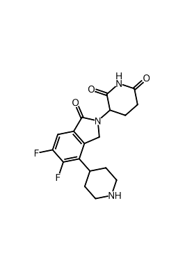 O=C1CCC(N2Cc3c(cc(F)c(F)c3C3CCNCC3)C2=O)C(=O)N1